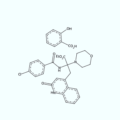 CCOC(=O)C(Cc1cc(=O)[nH]c2ccccc12)(NC(=O)c1ccc(Cl)cc1)N1CCOCC1.O=C(O)c1ccccc1O